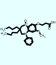 CCCCC1(CCCC)CN(c2ccccc2)c2cc(SC)c(OCCC(=O)O)cc2[S+]([O-])C1